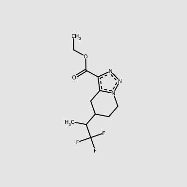 CCOC(=O)c1nnn2c1CC(C(C)C(F)(F)F)CC2